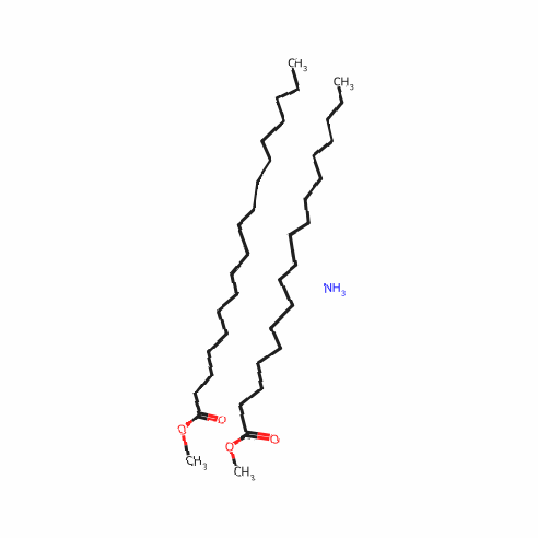 CCCCCCCCCCCCCCCCCC(=O)OC.CCCCCCCCCCCCCCCCCC(=O)OC.N